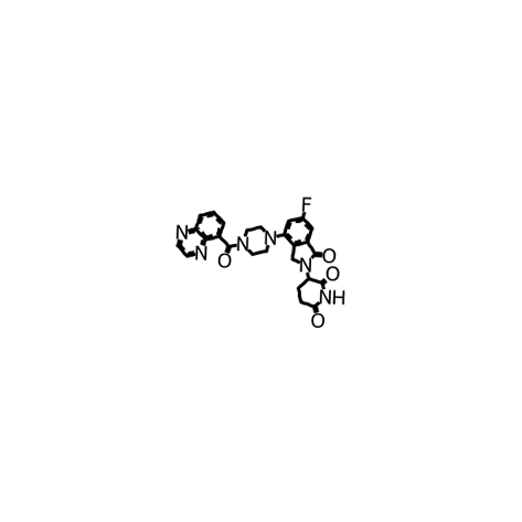 O=C1CCC(N2Cc3c(cc(F)cc3N3CCN(C(=O)c4cccc5nccnc45)CC3)C2=O)C(=O)N1